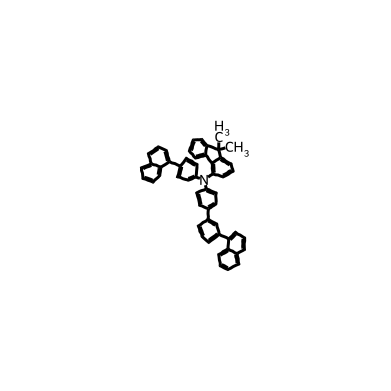 CC1(C)c2ccccc2-c2c(N(c3ccc(-c4cccc(-c5cccc6ccccc56)c4)cc3)c3ccc(-c4cccc5ccccc45)cc3)cccc21